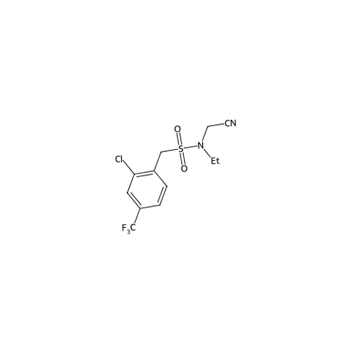 CCN(CC#N)S(=O)(=O)Cc1ccc(C(F)(F)F)cc1Cl